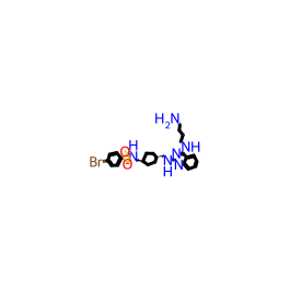 NCCCCNc1nc(NC[C@H]2CC[C@H](CNS(=O)(=O)c3ccc(Br)cc3)CC2)nc2ccccc12